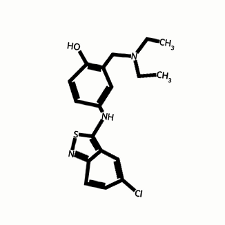 CCN(CC)Cc1cc(Nc2snc3ccc(Cl)cc23)ccc1O